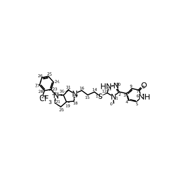 CN1C(c2cc[nH]c(=O)c2)=NNC1SCCCN1CC2CCN(c3ccccc3C(F)(F)F)C2C1